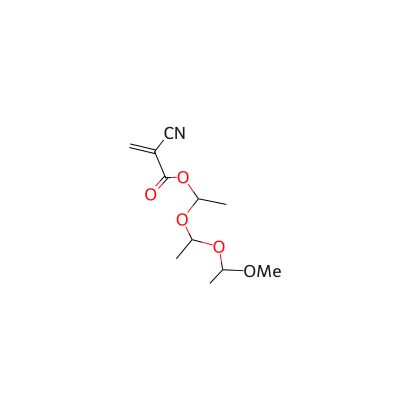 C=C(C#N)C(=O)OC(C)OC(C)OC(C)OC